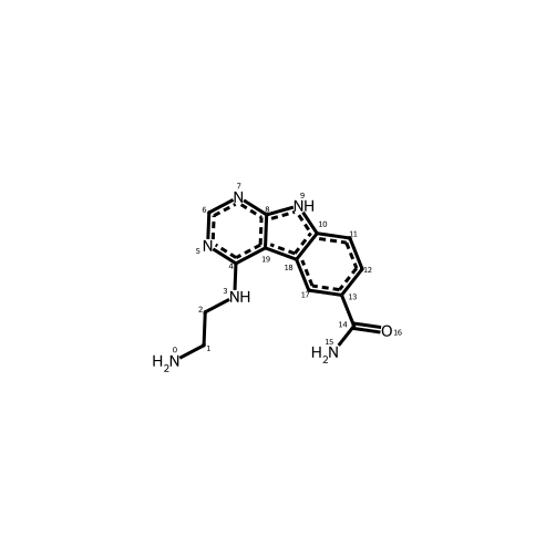 NCCNc1ncnc2[nH]c3ccc(C(N)=O)cc3c12